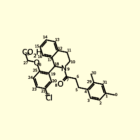 Cc1ccc(CCC(=O)N2CCc3ccccc3C2c2cc(Cl)ccc2OCC(=O)O)c(C)c1